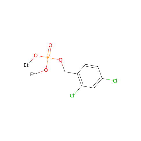 CCOP(=O)(OCC)OCc1ccc(Cl)cc1Cl